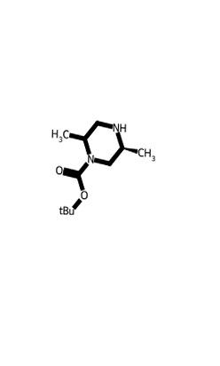 CC1CN[C@@H](C)CN1C(=O)OC(C)(C)C